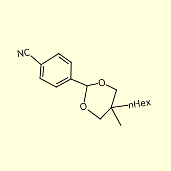 CCCCCCC1(C)COC(c2ccc(C#N)cc2)OC1